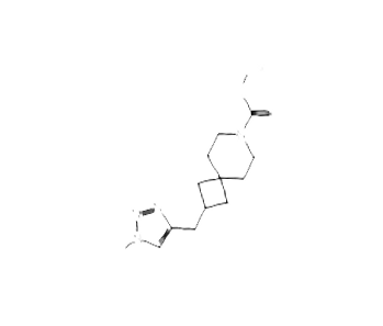 Cn1cc(CC2CC3(CCN(C(=O)OC(C)(C)C)CC3)C2)nn1